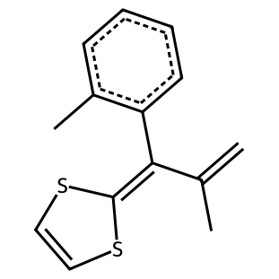 C=C(C)C(=C1SC=CS1)c1ccccc1C